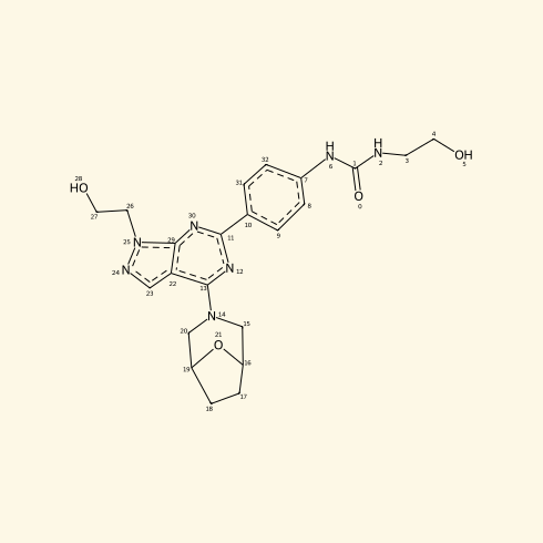 O=C(NCCO)Nc1ccc(-c2nc(N3CC4CCC(C3)O4)c3cnn(CCO)c3n2)cc1